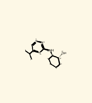 CC(C)c1cnnc(N[C@@H]2CCCC[C@H]2O)n1